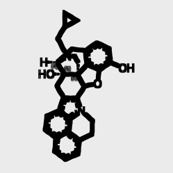 Oc1ccc2c3c1OC1c4c(c5ccc6cccc7c6c5n4CC7)C[C@@]4(O)[C@@H](C2)N(CC2CC2)CC[C@]314